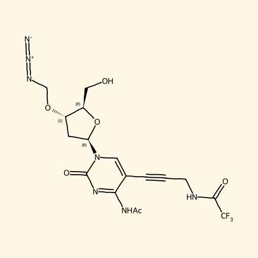 CC(=O)Nc1nc(=O)n([C@H]2C[C@H](OCN=[N+]=[N-])[C@@H](CO)O2)cc1C#CCNC(=O)C(F)(F)F